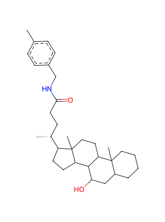 Cc1ccc(CNC(=O)CC[C@@H](C)C2CCC3C4C(O)CC5CCCCC5(C)C4CCC32C)cc1